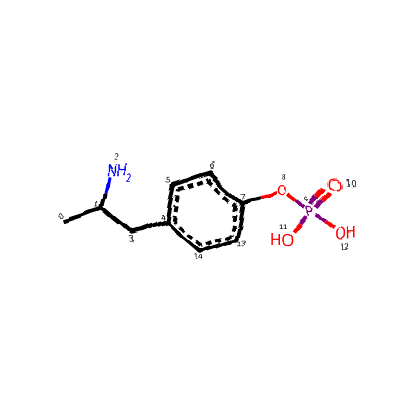 CC(N)Cc1ccc(OP(=O)(O)O)cc1